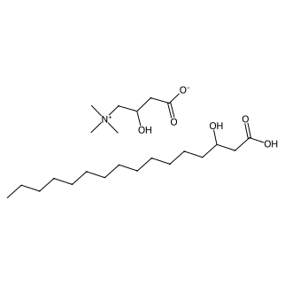 CCCCCCCCCCCCCC(O)CC(=O)O.C[N+](C)(C)CC(O)CC(=O)[O-]